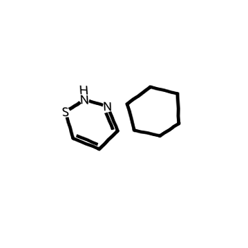 C1=CSNN=C1.C1CCCCC1